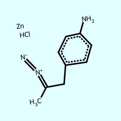 CC(Cc1ccc(N)cc1)=[N+]=[N-].Cl.[Zn]